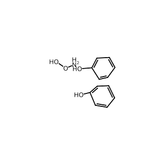 NOO.Oc1ccccc1.Oc1ccccc1